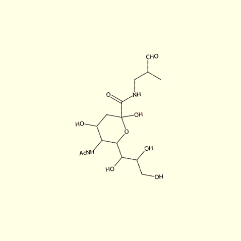 CC(=O)NC1C(O)CC(O)(C(=O)NCC(C)C=O)OC1C(O)C(O)CO